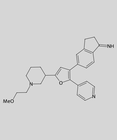 COCCN1CCCC(c2cc(-c3ccc4c(c3)CCC4=N)c(-c3ccncc3)o2)C1